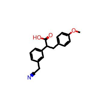 COc1ccc(CC(C(=O)O)c2cccc(CC#N)c2)cc1